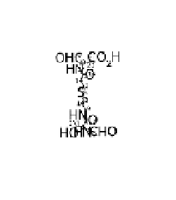 CC(O)C(NC=O)C(=O)NCCSSCCC(=O)NC(C=O)CC(=O)O